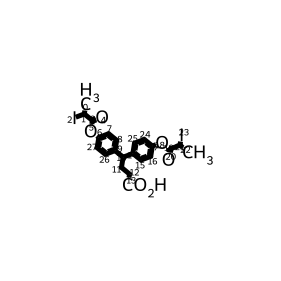 CC(I)C(=O)Oc1ccc(C(CCC(=O)O)c2ccc(OC(=O)C(C)I)cc2)cc1